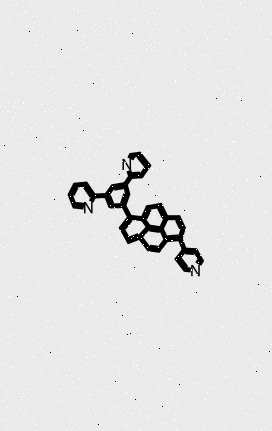 c1ccc(-c2cc(-c3ccccn3)cc(-c3ccc4ccc5c(-c6ccncc6)ccc6ccc3c4c65)c2)nc1